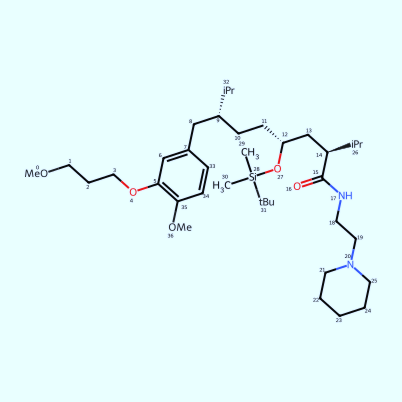 COCCCOc1cc(C[C@@H](CC[C@H](C[C@H](C(=O)NCCN2CCCCC2)C(C)C)O[Si](C)(C)C(C)(C)C)C(C)C)ccc1OC